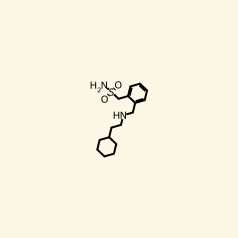 NS(=O)(=O)Cc1ccccc1CNCCC1CCCCC1